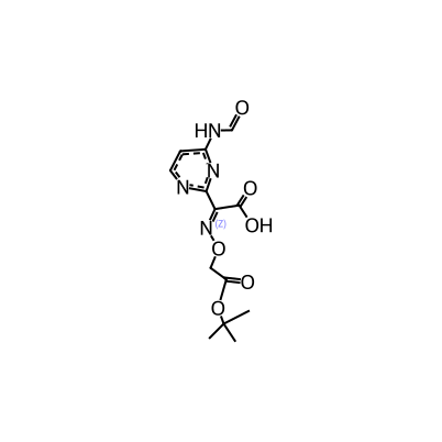 CC(C)(C)OC(=O)CO/N=C(\C(=O)O)c1nccc(NC=O)n1